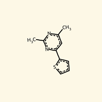 Cc1cc(-c2cccs2)nc(C)n1